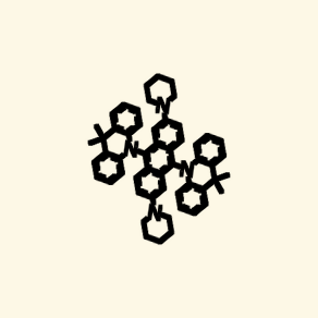 CC1(C)c2ccccc2N(c2c3ccc(N4CCCCC4)cc3c(N3c4ccccc4C(C)(C)c4ccccc43)c3ccc(N4CCCCC4)cc23)c2ccccc21